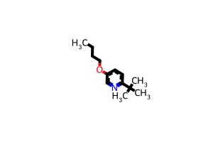 CCCCOc1ccc(C(C)(C)C)nc1